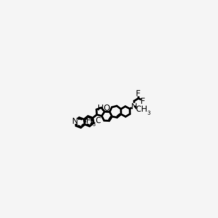 CN(CC(F)F)C1CCC2=CC3=CCC4(C)C(c5ccc6ccncc6c5)CCC4[C@@]3(O)CCC2C1